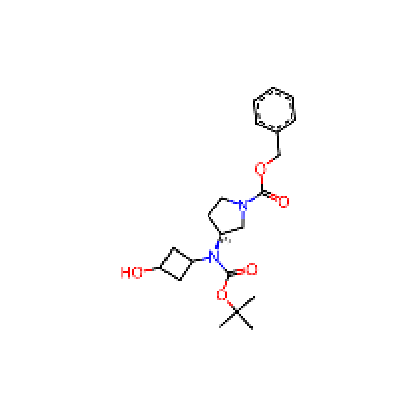 CC(C)(C)OC(=O)N(C1CC(O)C1)[C@H]1CCN(C(=O)OCc2ccccc2)C1